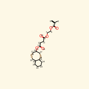 C=C(C)C(=O)OCCOC(=O)CCC(=O)OC1CSCC2CCCCC2SC1